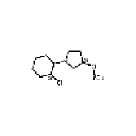 CCCCO[C@@H]1CCN(C2CCCC[C@@H]2Cl)C1